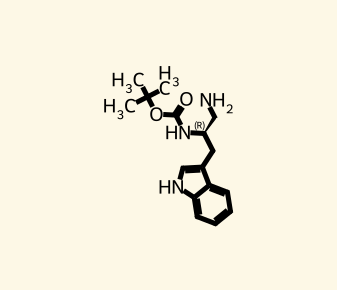 CC(C)(C)OC(=O)N[C@@H](CN)Cc1c[nH]c2ccccc12